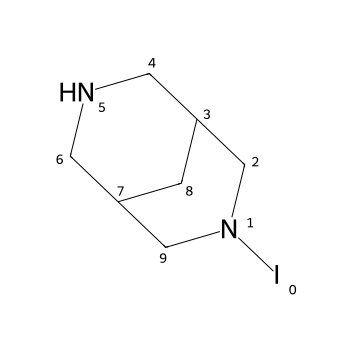 IN1CC2CNCC(C2)C1